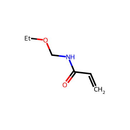 C=CC(=O)NCOCC